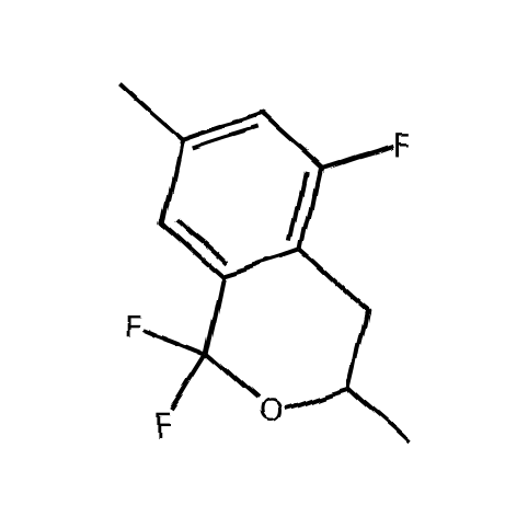 Cc1cc(F)c2c(c1)C(F)(F)OC(C)C2